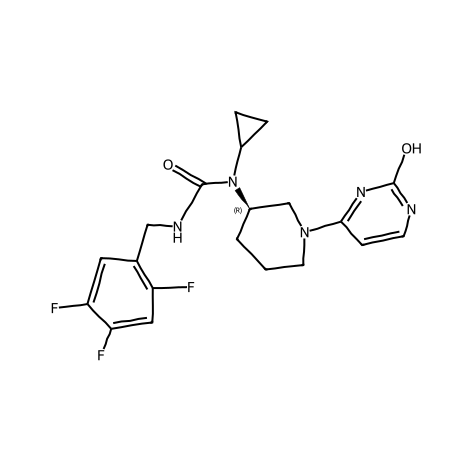 O=C(NCc1cc(F)c(F)cc1F)N(C1CC1)[C@@H]1CCCN(c2ccnc(O)n2)C1